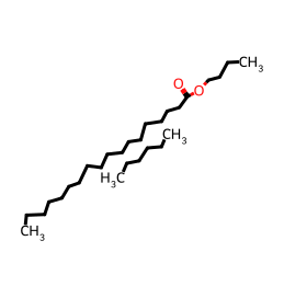 CCCCCC.CCCCCCCCCCCCCCCCCC(=O)OCCCC